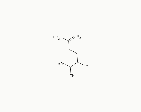 C=C(CCC(CC)C(O)CCC)C(=O)O